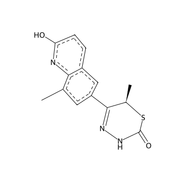 Cc1cc(C2=NNC(=O)S[C@@H]2C)cc2ccc(O)nc12